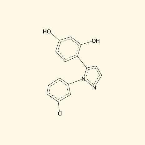 Oc1ccc(-c2ccnn2-c2cccc(Cl)c2)c(O)c1